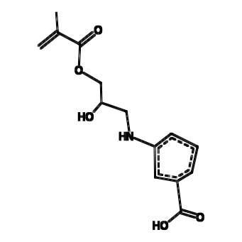 C=C(C)C(=O)OCC(O)CNc1cccc(C(=O)O)c1